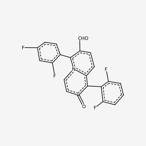 O=Cc1ccc2c(-c3c(F)cccc3F)c(=O)ccn2c1-c1ccc(F)cc1F